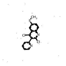 CSc1ccc2nc(Cl)c(-c3ccccn3)c(Cl)c2c1